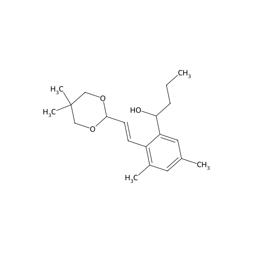 CCCC(O)c1cc(C)cc(C)c1C=CC1OCC(C)(C)CO1